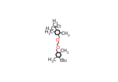 CCC(C)(C)c1cc(C)c(COCCOCc2cc(C)c(C(C)(C)C)cc2C)cc1C